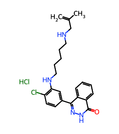 C=C(C)CNCCCCCNc1cc(-c2n[nH]c(=O)c3ccccc23)ccc1Cl.Cl